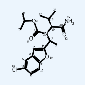 CC(C)OC(=O)N(C(C)c1cc2cc(Cl)ccc2o1)[C@H](C(N)=O)C(C)C